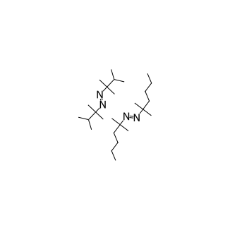 CC(C)C(C)(C)N=NC(C)(C)C(C)C.CCCCC(C)(C)N=NC(C)(C)CCCC